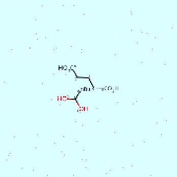 CCCCC(O)O.O=C(O)CCCC(=O)O